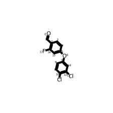 O=Cc1ccc(Oc2ccc(Cl)c(Cl)c2)cc1F